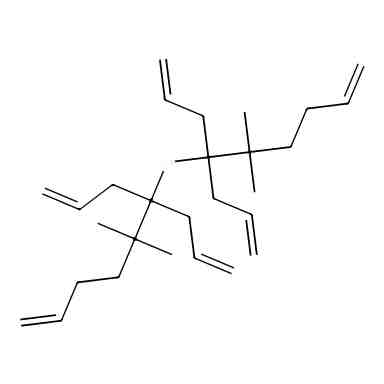 C=CCCC(C)(C)C(CC=C)(CC=C)OC(CC=C)(CC=C)C(C)(C)CCC=C